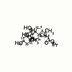 CC(C)OC(=O)CC[C@@H](C)[C@H]1CC[C@H]2[C@@H]3C(O)C[C@@H]4CC(O)CC[C@]4(C)[C@H]3CC[C@]12C